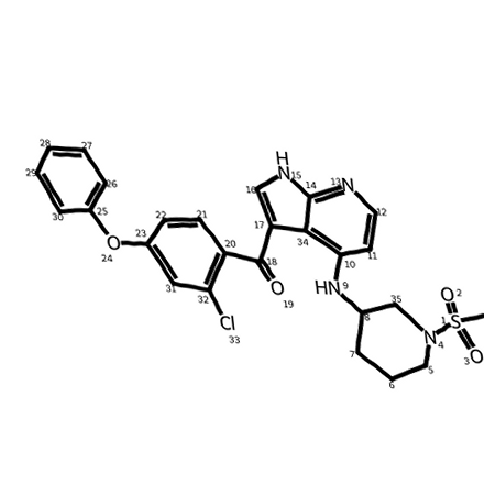 CS(=O)(=O)N1CCCC(Nc2ccnc3[nH]cc(C(=O)c4ccc(Oc5ccccc5)cc4Cl)c23)C1